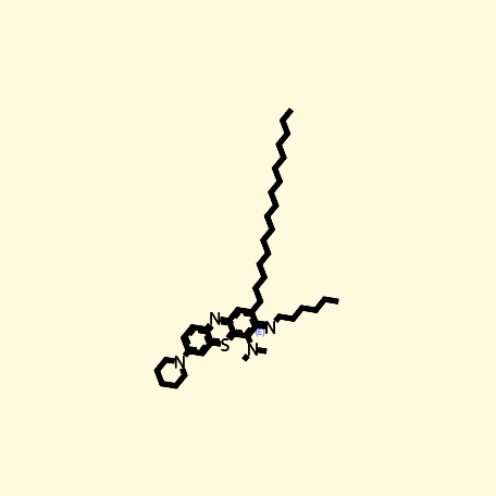 CCCCCCCCCCCCCCCCCc1cc2nc3ccc(N4CCCCC4)cc3sc-2c(N(C)C)/c1=N/CCCCCC